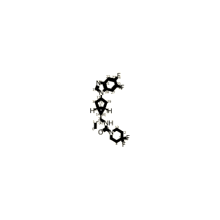 CC[C@@H](NC(=O)N1CCC(F)(F)CC1)[C@H]1[C@@H]2C[C@@H](n3cnc4cc(F)c(F)cc43)C[C@@H]21